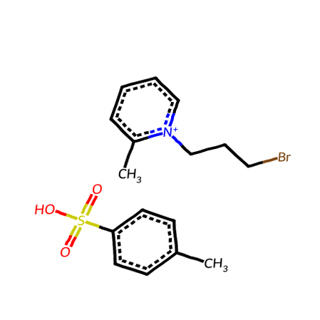 Cc1ccc(S(=O)(=O)O)cc1.Cc1cccc[n+]1CCCBr